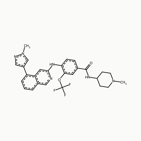 CN1CCC(NC(=O)c2ccc(Nc3cc4c(-c5cnn(C)c5)cccc4cn3)c(OC(F)(F)F)c2)CC1